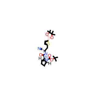 CC(C)(C)OC(=O)N1[C@@H]2CC[C@@H](C2)[C@H]1C(=O)N[C@H](C#N)Cc1ccc(B2OC(C)(C)C(C)(C)O2)s1